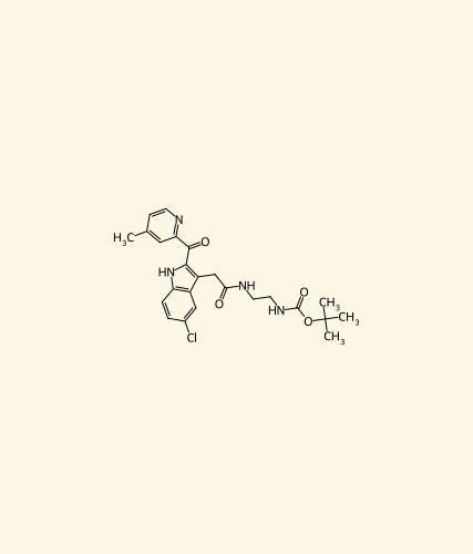 Cc1ccnc(C(=O)c2[nH]c3ccc(Cl)cc3c2CC(=O)NCCNC(=O)OC(C)(C)C)c1